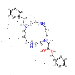 O=C(CN1CCCNCCN(CCc2ccccc2)CCCNCC1)OCc1ccccc1